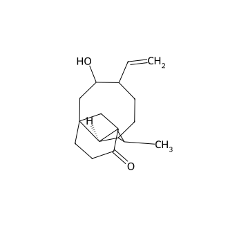 C=CC1CCC2C(C)CC34CC(CCC3=O)(CC1O)[C@H]24